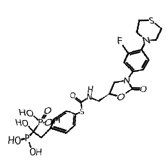 O=C(NC[C@H]1CN(c2ccc(N3CCSCC3)c(F)c2)C(=O)O1)Sc1ccc(CC(O)(P(O)O)P(=O)(O)O)cc1